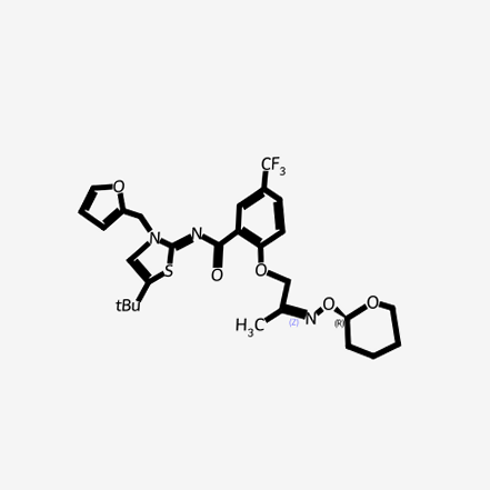 C/C(COc1ccc(C(F)(F)F)cc1C(=O)N=c1sc(C(C)(C)C)cn1Cc1ccco1)=N/O[C@@H]1CCCCO1